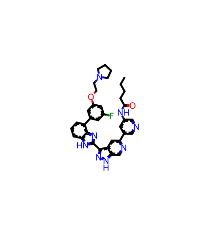 CCCCC(=O)Nc1cncc(-c2cc3c(-c4nc5c(-c6cc(F)cc(OCCN7CCCC7)c6)cccc5[nH]4)n[nH]c3cn2)c1